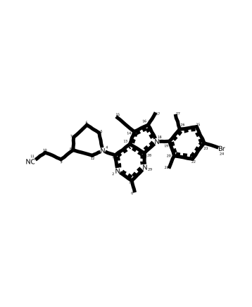 Cc1nc(N2CCCC(CCC#N)C2)c2c(C)c(C)n(-c3c(C)cc(Br)cc3C)c2n1